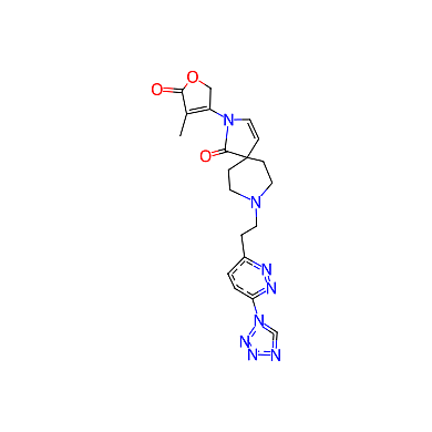 CC1=C(N2C=CC3(CCN(CCc4ccc(-n5cnnn5)nn4)CC3)C2=O)COC1=O